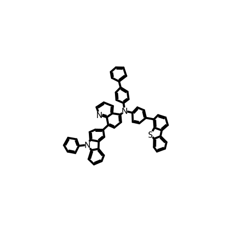 c1ccc(-c2ccc(N(c3ccc(-c4cccc5c4sc4ccccc45)cc3)c3ccc(-c4ccc5c(c4)c4ccccc4n5-c4ccccc4)c4ncccc34)cc2)cc1